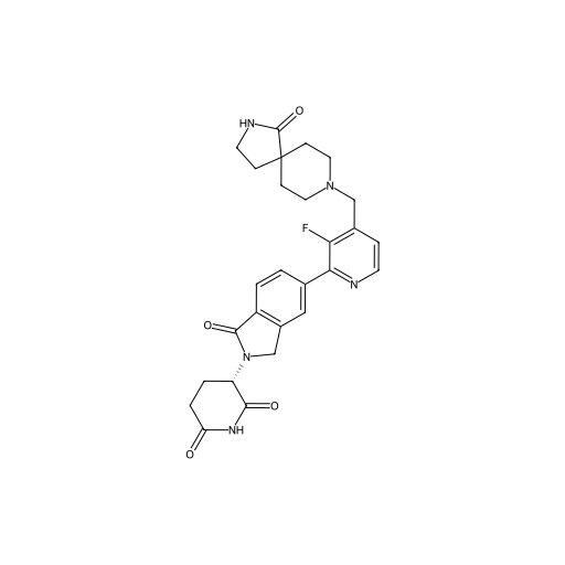 O=C1CC[C@H](N2Cc3cc(-c4nccc(CN5CCC6(CCNC6=O)CC5)c4F)ccc3C2=O)C(=O)N1